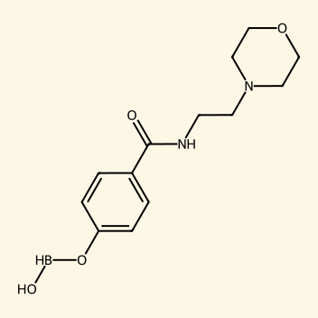 O=C(NCCN1CCOCC1)c1ccc(OBO)cc1